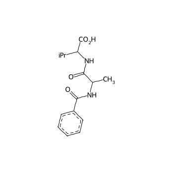 CC(NC(=O)c1ccccc1)C(=O)NC(C(=O)O)C(C)C